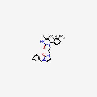 CC1=C(C(=O)O)C(c2cccc([N+](=O)[O-])c2)N(CCCn2ccn(Cc3ccccc3)c2=O)C(=O)N1